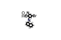 O=[N+]([O-])c1cc(Br)cc(/C=N/c2cccc3ccccc23)c1O